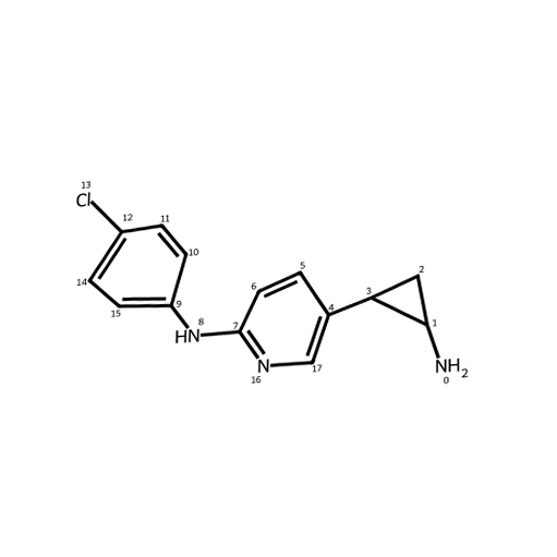 NC1CC1c1ccc(Nc2ccc(Cl)cc2)nc1